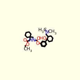 CCOC(=O)CC1(CNC(=O)Oc2cccc(C3(O)CCCCC3CN(C)C)c2)CCCCC1